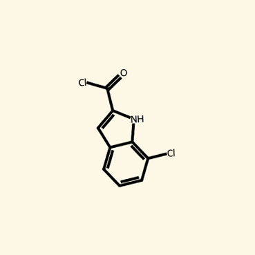 O=C(Cl)c1cc2cccc(Cl)c2[nH]1